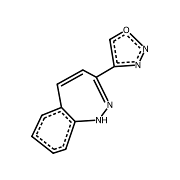 C1=Cc2ccccc2NN=C1c1conn1